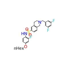 CCCCCCOc1ccc(NS(=O)(=O)c2ccc3c(c2)CCN(Cc2cc(F)cc(F)c2)C3)c(F)c1